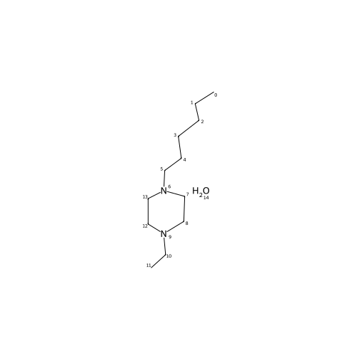 CCCCCCN1CCN(CC)CC1.O